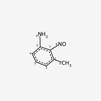 Cc1cccc(N)c1N=O